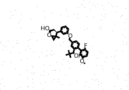 COc1ccc(F)c(-c2ccc(COc3cccc([C@H](CC(=O)O)C4(C)CC4)c3)cc2C(O)C(C)(C)C)c1